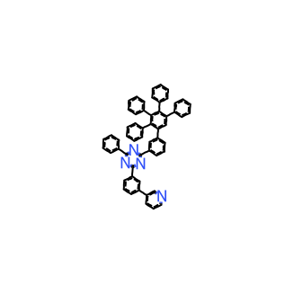 c1ccc(-c2nc(-c3cccc(-c4cccnc4)c3)nc(-c3cccc(-c4cc(-c5ccccc5)c(-c5ccccc5)c(-c5ccccc5)c4-c4ccccc4)c3)n2)cc1